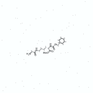 COC(=O)[C@H](CCCCNC(=O)CN)NC(=O)OCc1ccccc1